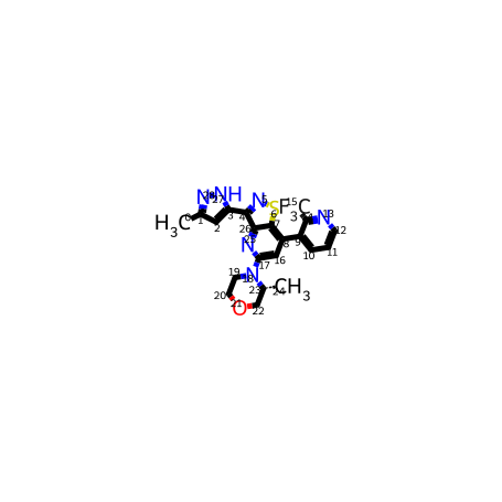 Cc1cc(-c2nsc3c(-c4cccnc4C(F)(F)F)cc(N4CCOC[C@H]4C)nc23)[nH]n1